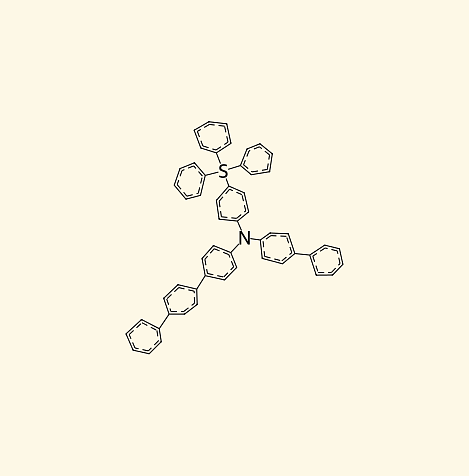 c1ccc(-c2ccc(-c3ccc(N(c4ccc(-c5ccccc5)cc4)c4ccc(S(c5ccccc5)(c5ccccc5)c5ccccc5)cc4)cc3)cc2)cc1